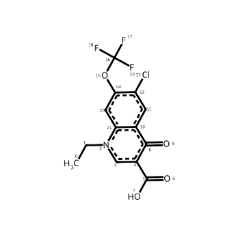 CCn1cc(C(=O)O)c(=O)c2cc(Cl)c(OC(F)(F)F)cc21